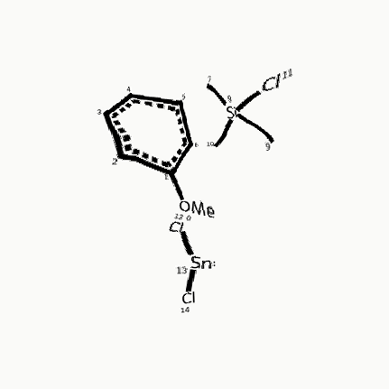 COc1ccccc1.C[Si](C)(C)Cl.[Cl][Sn][Cl]